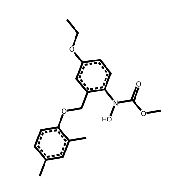 CCOc1ccc(N(O)C(=O)OC)c(COc2ccc(C)cc2C)c1